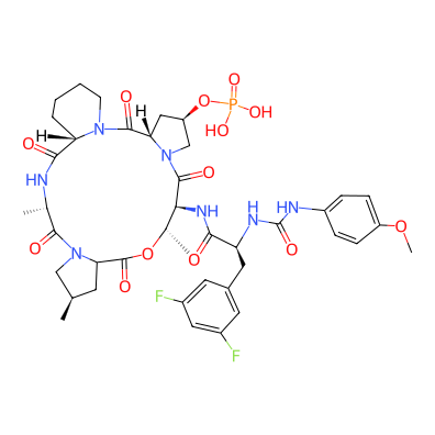 COc1ccc(NC(=O)N[C@@H](Cc2cc(F)cc(F)c2)C(=O)N[C@@H]2C(=O)N3C[C@H](OP(=O)(O)O)C[C@H]3C(=O)N3CCCC[C@H]3C(=O)N[C@@H](C)C(=O)N3C[C@H](C)CC3C(=O)O[C@H]2C)cc1